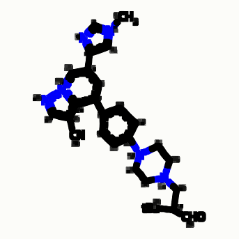 Cn1cnc(-c2cc(-c3ccc(N4CCN(CC(C=O)C(C)(C)C)CC4)cc3)c3c(C#N)cnn3c2)c1